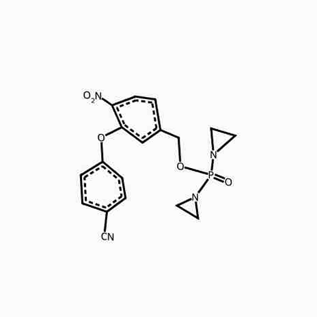 N#Cc1ccc(Oc2cc(COP(=O)(N3CC3)N3CC3)ccc2[N+](=O)[O-])cc1